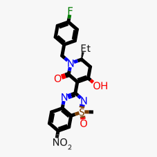 CC[C@H]1CC(O)=C(C2=Nc3ccc([N+](=O)[O-])cc3S(C)(=O)=N2)C(=O)N1Cc1ccc(F)cc1